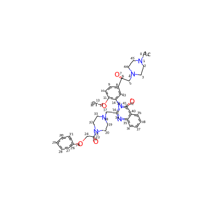 CC(=O)N1CCN(CC(=O)c2ccc(OC(C)C)c(-n3c(CN4CCN(C(=O)COc5ccccc5)CC4)nc4ccccc4c3=O)c2)CC1